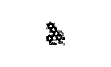 COc1cccc(C(c2ccc3ccccc3c2)N2C[C@@H](C)NC[C@@H]2C)c1